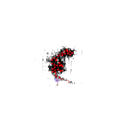 CCCCCCCCCCCCC/C=C/[C@@H](O)[C@H](CO[C@@H]1OC(CO)[C@@H](O[C@@H]2OC(CO)[C@H](O)[C@H](O[C@@H]3OC(CO)[C@@H](O[C@@H]4OC(CO[C@@H]5OC(CO)[C@@H](O[C@@H]6OC(CO)[C@H](O)[C@H](O)C6O)[C@H](O)C5NC(C)=O)[C@H](O)[C@H](O[C@@H]5OC(CO)[C@@H](O[C@@H]6OC(CO)[C@H](O)[C@H](O)C6O[C@H]6OC(C)[C@@H](O)C(O)[C@@H]6O)[C@H](O)C5NC(C)=O)C4O)[C@H](O)C3NC(C)=O)C2O)[C@H](O)C1O)NC(=O)CCCCCCCCCCCCCCCCCCC